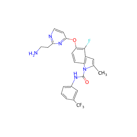 Cc1cc2c(F)c(Oc3ccnc(CCN)n3)ccc2n1C(=O)Nc1cccc(C(F)(F)F)c1